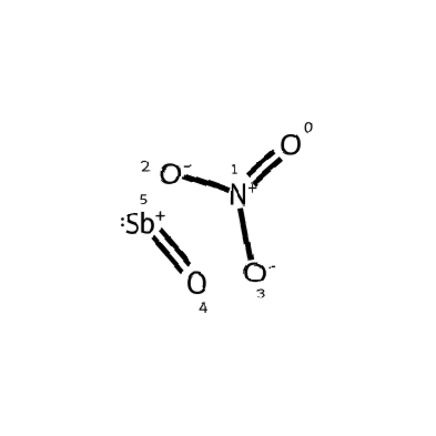 O=[N+]([O-])[O-].[O]=[Sb+]